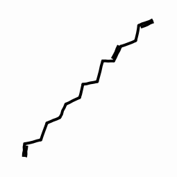 [CH]=CCCCCCCCCC=CCC=C